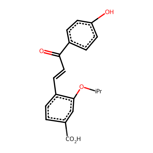 CC(C)Oc1cc(C(=O)O)ccc1/C=C/C(=O)c1ccc(O)cc1